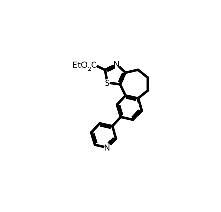 CCOC(=O)c1nc2c(s1)-c1cc(-c3cccnc3)ccc1CCC2